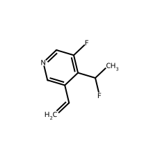 C=Cc1cncc(F)c1C(C)F